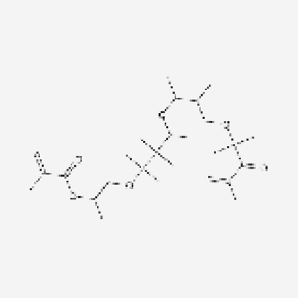 C=C(C)C(=O)OC(C)COC(C)(C)C(C)(C)C(C)OC(C)C(C)COC(C)(C)C(=O)C(=C)C